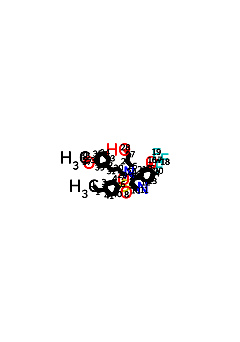 CCc1ccc(S(=O)(=O)c2cnc3ccc(OC(F)(F)F)cc3c2N(CCCO)CCCc2cccc(OC)c2)cc1